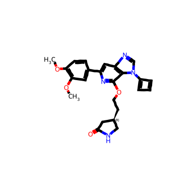 COc1ccc(-c2cc3ncn(C4=CC=C4)c3c(OCC[C@H]3CNC(=O)C3)n2)cc1OC